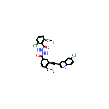 Cc1ccc(C(=O)NNC(=O)c2c(C)cccc2Cl)cc1C#Cc1cnc2ccc(Cl)cc2c1